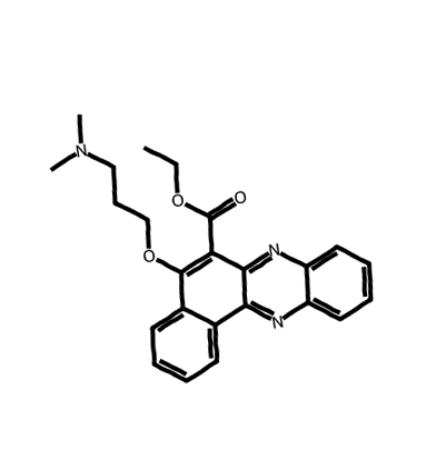 CCOC(=O)c1c(OCCCN(C)C)c2ccccc2c2nc3ccccc3nc12